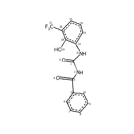 O=C(NC(=O)c1ccccc1)Nc1cccc(C(F)(F)F)c1O